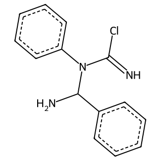 N=C(Cl)N(c1ccccc1)C(N)c1ccccc1